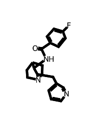 O=C(NC1C2CCN(CC2)C1Cc1cccnc1)c1ccc(F)cc1